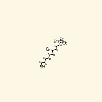 CC[N+](CC)(CC)CCCCCCCCCCS.[Cl-]